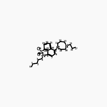 CCCCCN1c2ccc(N3CCCN(CCC)CC3)c3cccc(c23)S1(=O)=O